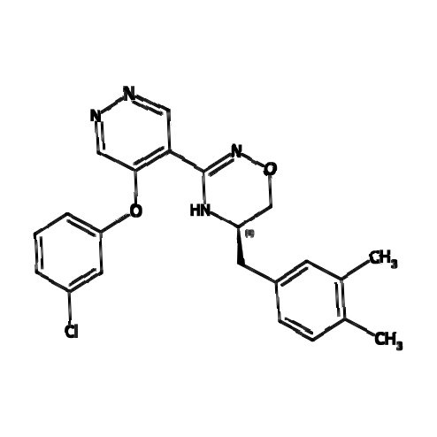 Cc1ccc(C[C@@H]2CON=C(c3cnncc3Oc3cccc(Cl)c3)N2)cc1C